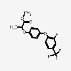 COC(=O)C(C)Oc1ccc(Oc2ccc(C(F)(F)F)cc2F)cc1